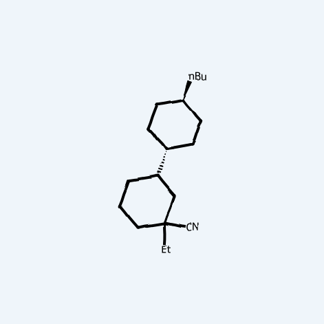 CCCC[C@H]1CC[C@H](C2CCCC(C#N)(CC)C2)CC1